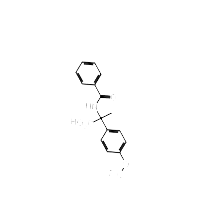 CC(NC(=O)c1ccccc1)(C(=O)O)c1ccc(OC(F)(F)F)cc1